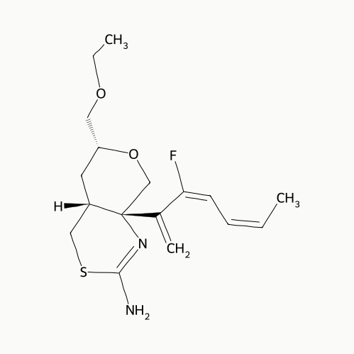 C=C(/C(F)=C\C=C/C)[C@]12CO[C@@H](COCC)C[C@H]1CSC(N)=N2